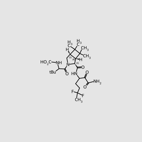 CC(F)(F)CCC(NC(=O)[C@@H]1[C@@H]2[C@H](CN1C(=O)C(NC(=O)O)C(C)(C)C)C(C)(C)C2(C)C)C(=O)C(N)=O